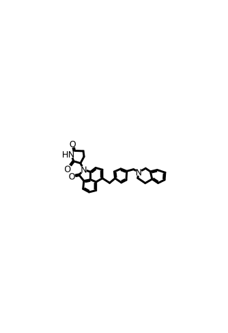 O=C1CCC(N2C(=O)c3cccc4c(Cc5ccc(CN6CCc7ccccc7C6)cc5)ccc2c34)C(=O)N1